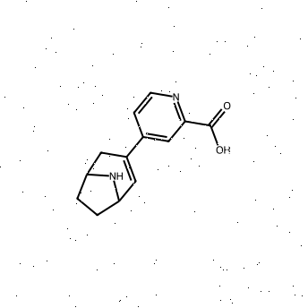 O=C(O)c1cc(C2=CC3CCC(C2)N3)ccn1